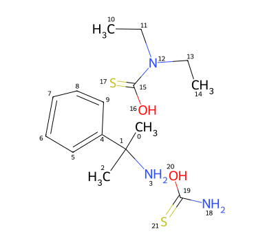 CC(C)(N)c1ccccc1.CCN(CC)C(O)=S.NC(O)=S